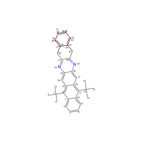 CC(C)(C)c1c2ccccc2c(C(C)(C)C)c2cc3nc4c(nc3cc12)C1c2ccccc2C4c2ccccc21